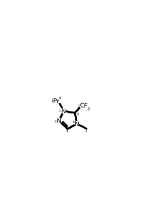 CC(C)N1N=CN(C)C1C(F)(F)F